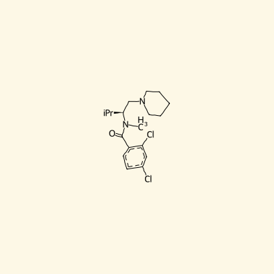 CC(C)[C@@H](CN1CCCCC1)N(C)C(=O)c1ccc(Cl)cc1Cl